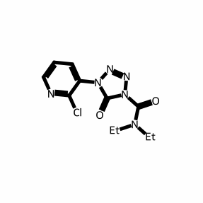 CCN(CC)C(=O)n1nnn(-c2cccnc2Cl)c1=O